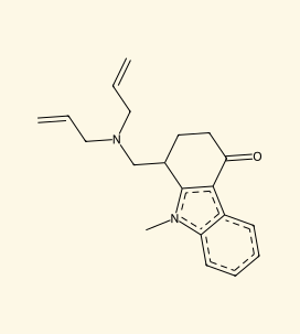 C=CCN(CC=C)CC1CCC(=O)c2c1n(C)c1ccccc21